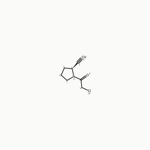 C#C[C@@H]1CCCN1C(=O)CCl